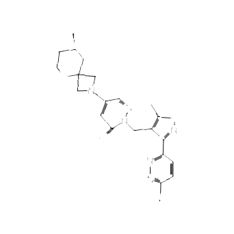 Cc1ccc(-c2noc(C)c2Cn2ncc(N3CC4(C[C@H](C)CCO4)C3)cc2=O)nn1